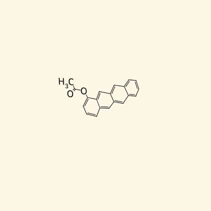 CC(=O)Oc1cccc2cc3cc4ccccc4cc3cc12